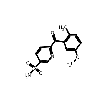 [CH2]c1ccc(OC(F)(F)F)cc1C(=O)c1ccc(S(N)(=O)=O)cn1